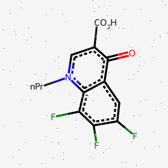 CCCn1cc(C(=O)O)c(=O)c2cc(F)c(F)c(F)c21